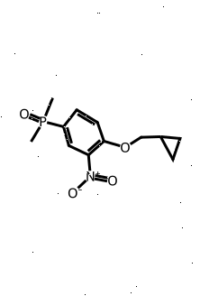 CP(C)(=O)c1ccc(OCC2CC2)c([N+](=O)[O-])c1